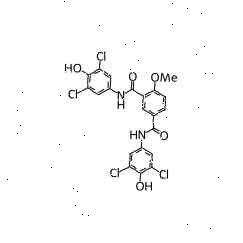 COc1ccc(C(=O)Nc2cc(Cl)c(O)c(Cl)c2)cc1C(=O)Nc1cc(Cl)c(O)c(Cl)c1